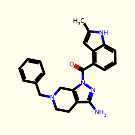 Cc1cc2c(C(=O)n3nc(N)c4c3CN(Cc3ccccc3)CC4)cccc2[nH]1